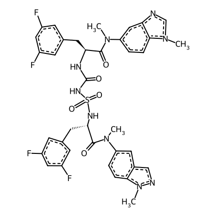 CN(C(=O)[C@H](Cc1cc(F)cc(F)c1)NC(=O)NS(=O)(=O)N[C@@H](Cc1cc(F)cc(F)c1)C(=O)N(C)c1ccc2c(cnn2C)c1)c1ccc2c(c1)ncn2C